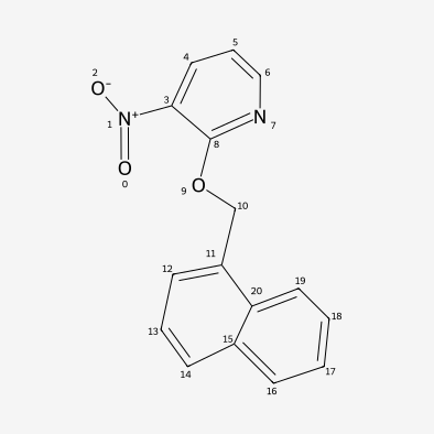 O=[N+]([O-])c1cccnc1OCc1cccc2ccccc12